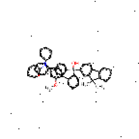 COc1cc(N(c2ccccc2)c2ccccc2)ccc1-c1ccccc1C(O)(c1ccc(-c2ccccc2)cc1)c1ccc2c(c1)C(C)(C)c1ccccc1-2